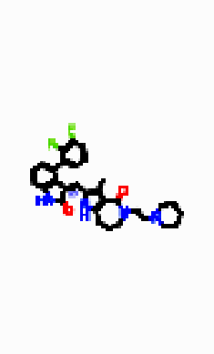 Cc1c(/C=C2\C(=O)Nc3cccc(-c4cccc(F)c4F)c32)[nH]c2c1C(=O)N(CCN1CCCCC1)CCC2